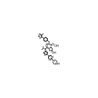 Cc1ncsc1-c1ccc(CNC(=O)[C@@H]2C[C@@H](O)CN2C(=O)[C@H](C(C)C)n2cc(-c3cnc(N4CCNCC4)nc3)nn2)cc1.Cl